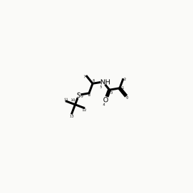 C=C(C)C(=O)NC(C)CSC(C)(C)C